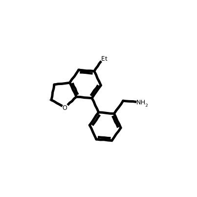 CCc1cc2c(c(-c3ccccc3CN)c1)O[CH]C2